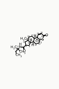 CCC(C)(C)NC(=O)C1C[C@H]2[C@@H]3CCC4SC(=O)C=C[C@]4(C)[C@@H]3CC[C@]2(C)C1